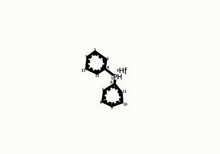 [Hf].c1ccc(Pc2ccccc2)cc1